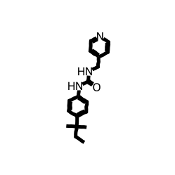 CCC(C)(C)c1ccc(NC(=O)NCc2ccncc2)cc1